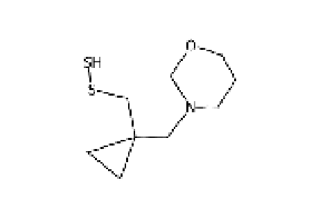 SSCC1(CN2CCCOC2)CC1